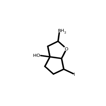 BC1CC2(O)CCC(I)C2O1